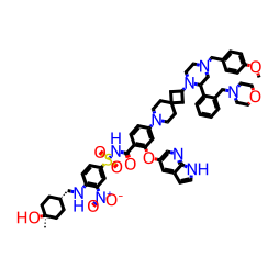 COc1ccc(CN2CCN(C3CC4(CCN(c5ccc(C(=O)NS(=O)(=O)c6ccc(NC[C@H]7CC[C@](C)(O)CC7)c([N+](=O)[O-])c6)c(Oc6cnc7[nH]ccc7c6)c5)CC4)C3)C(c3ccccc3CN3CCOCC3)C2)cc1